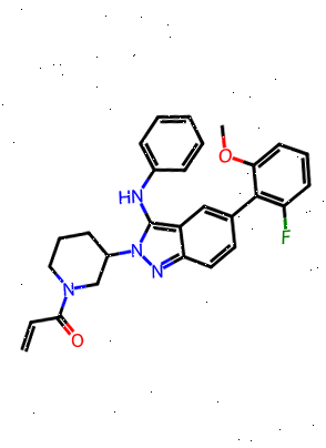 C=CC(=O)N1CCCC(n2nc3ccc(-c4c(F)cccc4OC)cc3c2Nc2ccccc2)C1